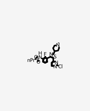 CCCS(=O)(=O)Nc1cccc(-c2nc(C3CCN(C)CC3)sc2-c2ccnc(Cl)n2)c1F